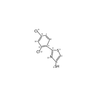 Sc1csc(-c2ccc(Cl)cc2Cl)n1